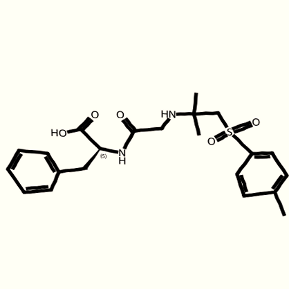 Cc1ccc(S(=O)(=O)CC(C)(C)NCC(=O)N[C@@H](Cc2ccccc2)C(=O)O)cc1